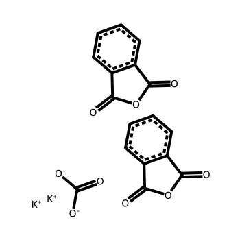 O=C([O-])[O-].O=C1OC(=O)c2ccccc21.O=C1OC(=O)c2ccccc21.[K+].[K+]